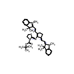 CN1/C(=C/C=C2\CCC(/C=C/C3=[N+](C)c4ccccc4C3(C)C)=C2/N=C2\SCCN2C(=O)OC(C)(C)C)C(C)(C)c2ccccc21